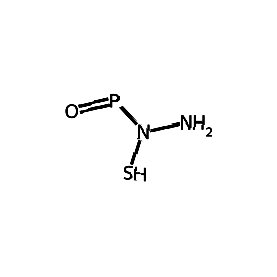 NN(S)P=O